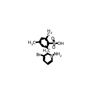 Cc1cc(C)c(S(=O)(=O)O)c(C)c1.NN1C=CC=C(Br)C1